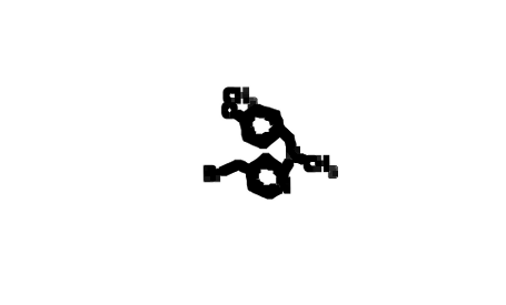 COc1ccc(CN(C)c2cc(CBr)ccn2)cc1